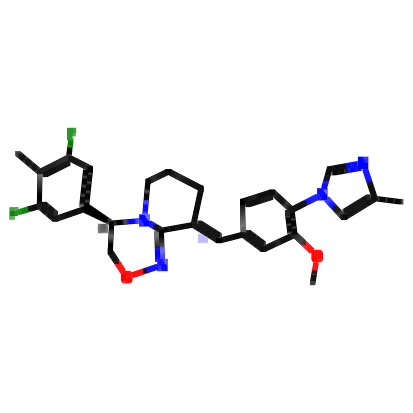 COc1cc(/C=C2\CCCN3C2=NOC[C@H]3c2cc(F)c(C)c(F)c2)ccc1-n1cnc(C)c1